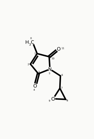 CC1=CC(=O)N(CC2CO2)C1=O